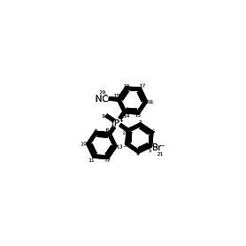 C[P+](c1ccccc1)(c1ccccc1)c1ccccc1C#N.[Br-]